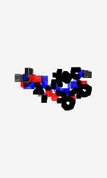 C=C[C@@H]1C[C@]1(NC(=O)[C@@H]1C[C@@]2(CN1C(=O)[C@@H](NC(=O)[C@@H](NC(=O)[C@@H]1CCCN1CC)C1(C)CCCCC1)C1(C)CCCCC1)C(C)(C)C21CCC1)C(=O)NS(=O)(=O)N(CC)CC